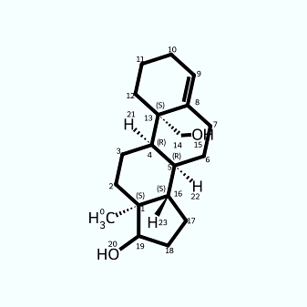 C[C@]12CC[C@@H]3[C@@H](CCC4=CCCC[C@@]43CO)[C@@H]1CCC2O